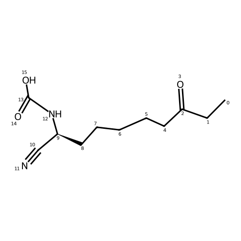 CCC(=O)CCCCC[C@@H](C#N)NC(=O)O